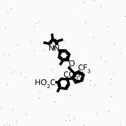 CC1=C(C(=O)O)CC(C(=O)O)(c2cccc(C(F)(F)F)c2COc2ccc(-n3nc(C)c(C)c3C)cc2C)C=C1